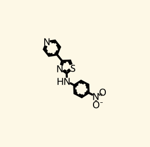 O=[N+]([O-])c1ccc(Nc2nc(-c3ccncc3)cs2)cc1